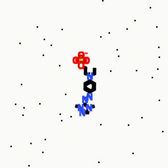 CCN(CCOS(=O)(=O)[O-])c1ccc(N=Nc2n(C)cn[n+]2C)cc1